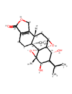 CC(C)C1[C@@H](O)[C@@H]2O[C@]23[C@]2(O[C@H]2C[C@H]2C4=C(CC[C@@]23C)C(=O)OC4)[C@@H]1O